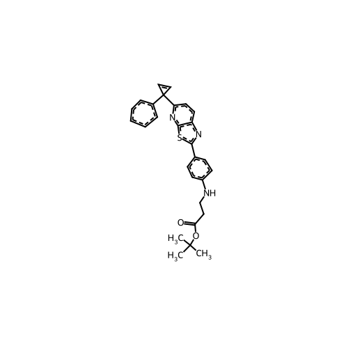 CC(C)(C)OC(=O)CCNc1ccc(-c2nc3ccc(C4(c5ccccc5)C=C4)nc3s2)cc1